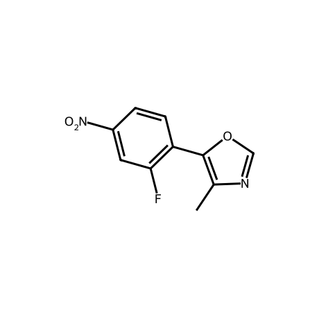 Cc1ncoc1-c1ccc([N+](=O)[O-])cc1F